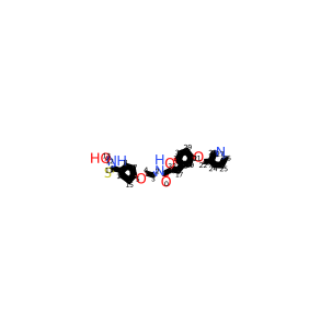 O=C(NCCOc1ccc(C(=S)NO)cc1)c1cc2cc(OCc3cccnc3)ccc2o1